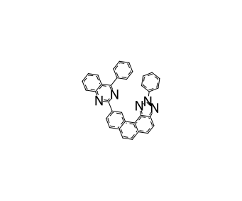 c1ccc(-c2nc(-c3ccc4ccc5ccc6nn(-c7ccccc7)nc6c5c4c3)nc3ccccc23)cc1